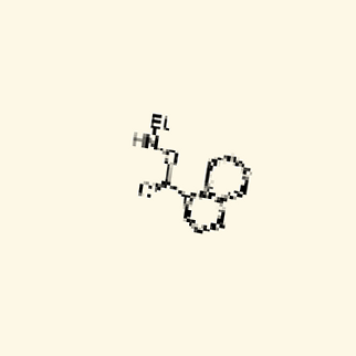 CCNOC(=O)c1cccc2ccccc12